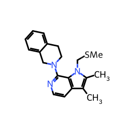 CSCn1c(C)c(C)c2ccnc(N3CCc4ccccc4C3)c21